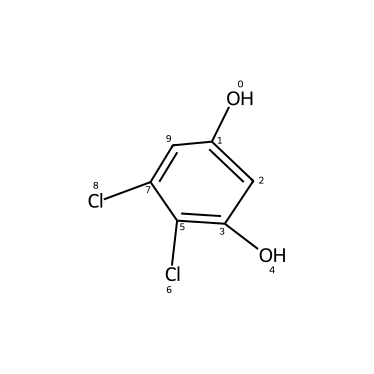 Oc1cc(O)c(Cl)c(Cl)c1